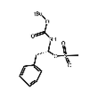 CC(C)(C)OC(=O)N[C@@H](Cc1ccccc1)OS(C)(=O)=O